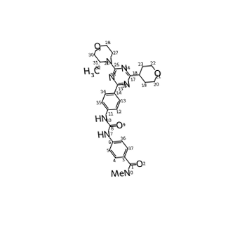 CNC(=O)c1ccc(NC(=O)Nc2ccc(-c3nc(C4CCOCC4)nc(N4CCOC[C@H]4C)n3)cc2)cc1